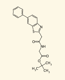 CC(C)(C)OC(=O)CNC(=O)Cc1nc2ccc(-c3ccccc3)cc2s1